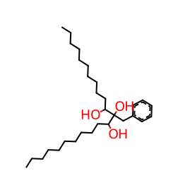 CCCCCCCCCCC(O)C(O)(Cc1ccccc1)C(O)CCCCCCCCCC